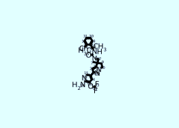 CC(C)(NC(=O)N1CC2(CCn3nc(-c4cnc(N)c(OC(F)F)c4)cc32)C1)c1ccccc1Cl